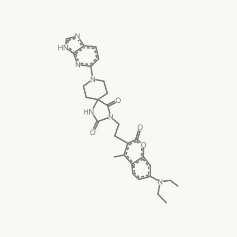 CCN(CC)c1ccc2c(C)c(CCN3C(=O)NC4(CCN(c5ccc6nc[nH]c6n5)CC4)C3=O)c(=O)oc2c1